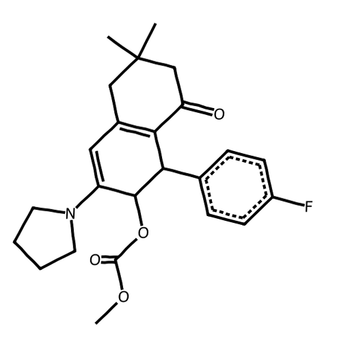 COC(=O)OC1C(N2CCCC2)=CC2=C(C(=O)CC(C)(C)C2)C1c1ccc(F)cc1